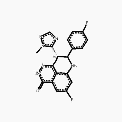 Cn1ncnc1[C@H]1c2n[nH]c(=O)c3cc(F)cc(c23)NC1c1ccc(F)cc1